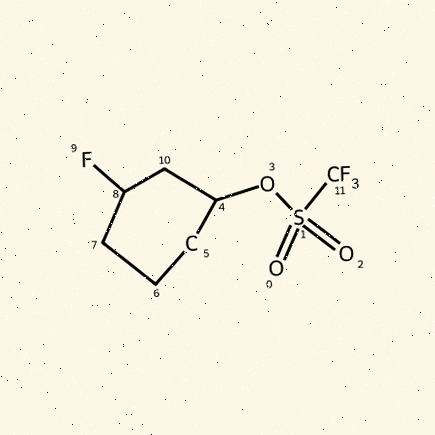 O=S(=O)(OC1CCCC(F)C1)C(F)(F)F